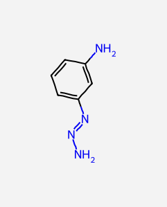 NN=Nc1cccc(N)c1